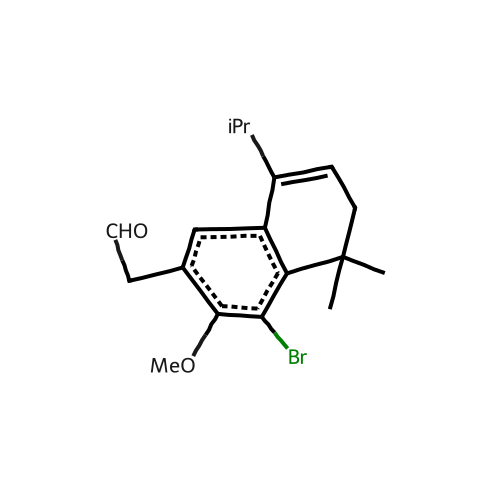 COc1c(CC=O)cc2c(c1Br)C(C)(C)CC=C2C(C)C